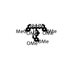 COc1cc2c(cc1OC)C(CCC(CCC1NCCc3cc(OC)c(OC)cc31)CCC(C)(C)CC1NCCc3cc(OC)c(OC)cc31)NCC2